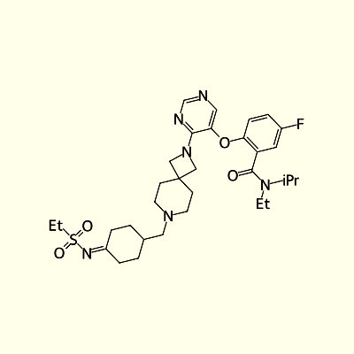 CCN(C(=O)c1cc(F)ccc1Oc1cncnc1N1CC2(CCN(CC3CCC(=NS(=O)(=O)CC)CC3)CC2)C1)C(C)C